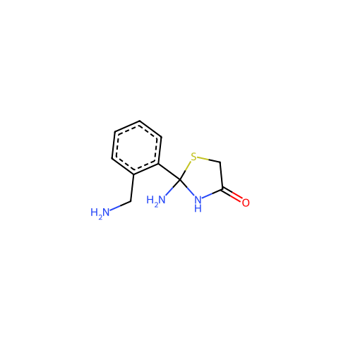 NCc1ccccc1C1(N)NC(=O)CS1